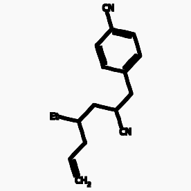 C=CCC(CC)CC(C#N)Cc1ccc(C#N)cc1